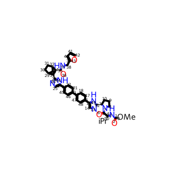 COC(=O)N[C@H](C(=O)N1CCC[C@H]1c1ncc(-c2ccc(-c3ccc(-c4cnc([C@H]5C6CCC(C6)[C@@H]5C(=O)NCc5ccco5)[nH]4)cc3)cc2)[nH]1)C(C)C